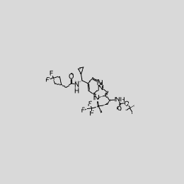 CC(C)(C)OC(=O)N[C@@H](CC(C)(C)C(F)(F)F)c1cn2ncc([C@H](NC(=O)CC3CC(F)(F)C3)C3CC3)cc2n1